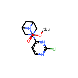 CC(C)(C)OC(=O)N1C2CC1CN(c1ccnc(Cl)n1)C2